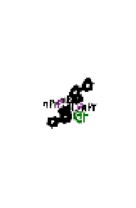 CCCP(CCC)C1=Cc2c(-c3ccccc3)cccc2[CH]1[Ti+2][CH]1C(P(CCC)CCC)=Cc2c(-c3ccccc3)cccc21.[Cl-].[Cl-]